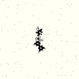 COc1c(C)cnc(COC(=O)Nc2cc(C)cc(-c3cc(C)cc(C)c3)c2)c1C